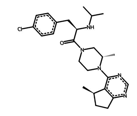 CC(C)N[C@H](Cc1ccc(Cl)cc1)C(=O)N1CCN(c2ncnc3c2[C@H](C)CC3)[C@@H](C)C1